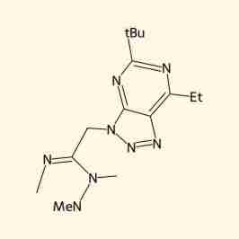 CCc1nc(C(C)(C)C)nc2c1nnn2C/C(=N/C)N(C)NC